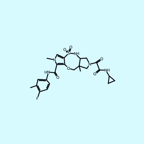 Cc1cc(NC(=O)c2c3c(cn2C)S(=O)(=O)NC2CN(C(=O)C(=O)NC4CC4)CC2(C)CO3)ccc1F